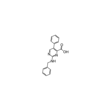 O=C(O)c1nc(NCc2ccccc2)ncc1-c1ccccc1